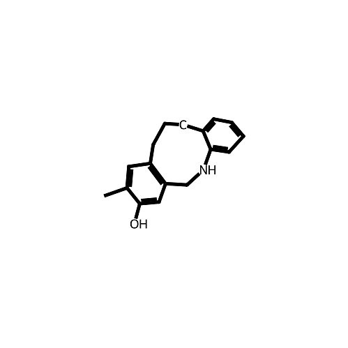 Cc1cc2c(cc1O)CNc1ccccc1CCC2